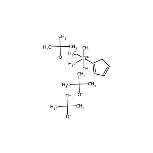 CC(C)(C)[O-].CC(C)(C)[O-].CC(C)(C)[O-].[CH3][Ti+3]([CH3])([CH3])([CH3])[C]1=CC=CC1